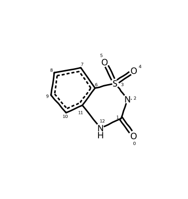 O=C1[N]S(=O)(=O)c2ccccc2N1